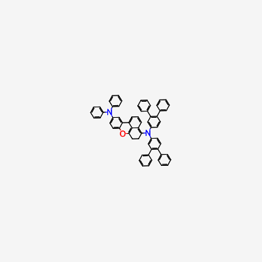 c1ccc(-c2ccc(N(C3=c4cccc5c4=C(CC3)Oc3ccc(N(c4ccccc4)c4ccccc4)cc3-5)c3ccc(-c4ccccc4)c(-c4ccccc4)c3)cc2-c2ccccc2)cc1